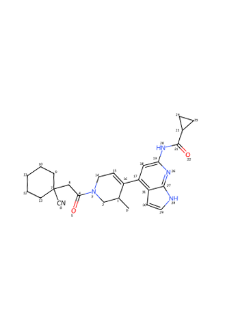 CC1CN(C(=O)CC2(C#N)CCCCC2)CC=C1c1cc(NC(=O)C2CC2)nc2[nH]ccc12